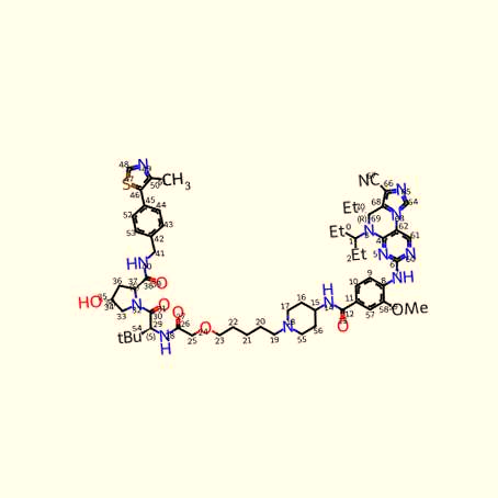 CCC(CC)N1c2nc(Nc3ccc(C(=O)NC4CCN(CCCCCOCC(=O)N[C@H](C(=O)N5C[C@H](O)C[C@H]5C(=O)NCc5ccc(-c6scnc6C)cc5)C(C)(C)C)CC4)cc3OC)ncc2-n2cnc(C#N)c2[C@H]1CC